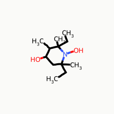 CCC1(C)CC(O)C(C)C(C)(CC)N1O